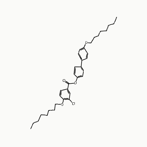 CCCCCCCCOc1ccc(-c2ccc(OC(=O)c3ccc(OCCCCCCCC)c(Cl)c3)cc2)cc1